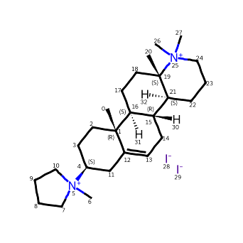 C[C@]12CC[C@H]([N+]3(C)CCCC3)CC1=CC[C@@H]1[C@@H]2CC[C@@]2(C)[C@H]1CCC[N+]2(C)C.[I-].[I-]